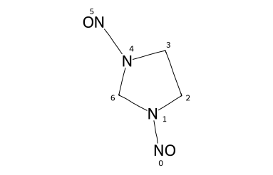 O=NN1CCN(N=O)C1